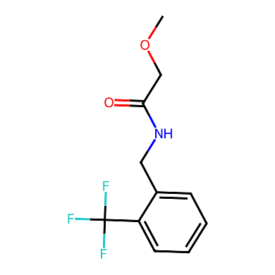 COCC(=O)NCc1ccccc1C(F)(F)F